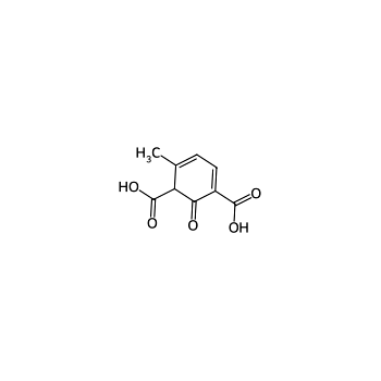 CC1=CC=C(C(=O)O)C(=O)C1C(=O)O